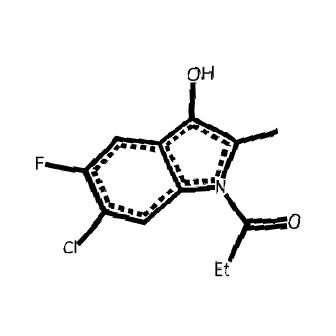 CCC(=O)n1c(C)c(O)c2cc(F)c(Cl)cc21